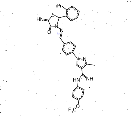 Cc1nn(-c2ccc(/C=N/N3C(=O)C(=N)SC3c3ccccc3C(C)C)cc2)cc1C(=N)Nc1ccc(OC(F)(F)F)cc1